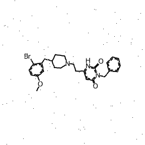 COc1ccc(Br)c(CC2CCN(CCc3cc(=O)n(Cc4ccccc4)c(=O)[nH]3)CC2)c1